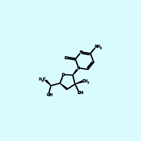 C[C@H](O)[C@@H]1C[C@@](C)(O)[C@H](n2ccc(N)nc2=O)O1